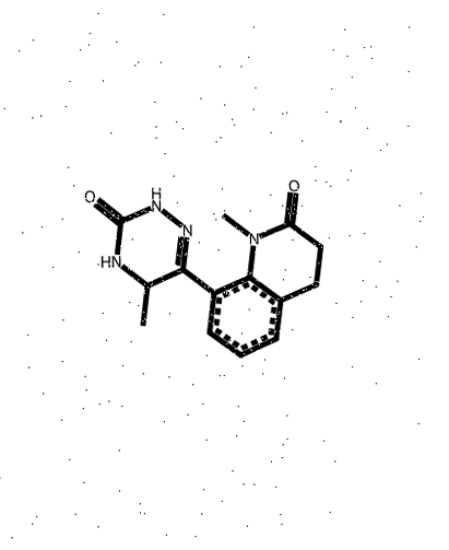 CC1NC(=O)NN=C1c1cccc2c1N(C)C(=O)CC2